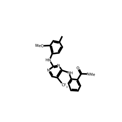 CNC(=O)c1ccccc1Nc1nc(Nc2ccc(C)cc2OC)ncc1C(F)(F)F